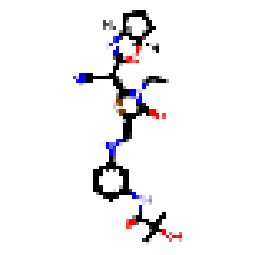 CCn1c(=C(C#N)C2=N[C@H]3CCC[C@H]3O2)sc(=CNc2cccc(NC(=O)C(C)(C)O)c2)c1=O